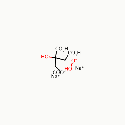 O=C([O-])CC(O)(CC(=O)O)C(=O)O.[Na+].[Na+].[O-]O